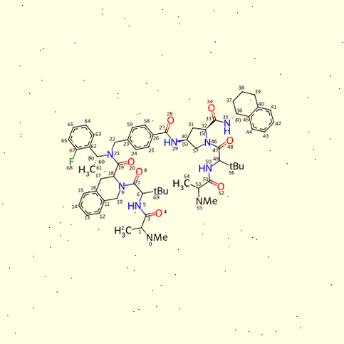 CNC(C)C(=O)NC(C(=O)N1Cc2ccccc2CC1C(=O)N(Cc1ccc(C(=O)N[C@H]2C[C@@H](C(=O)N[C@@H]3CCCc4ccccc43)N(C(=O)C(NC(=O)C(C)NC)C(C)(C)C)C2)cc1)[C@H](C)c1ccccc1F)C(C)(C)C